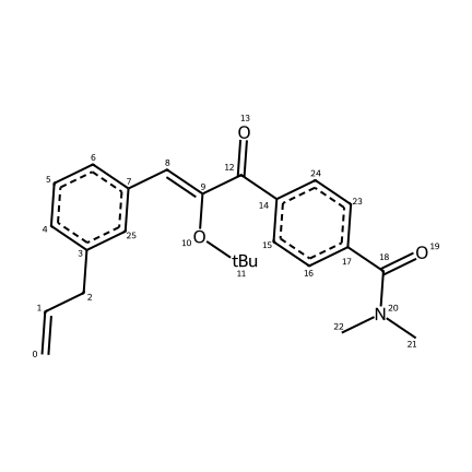 C=CCc1cccc(C=C(OC(C)(C)C)C(=O)c2ccc(C(=O)N(C)C)cc2)c1